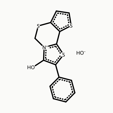 Oc1c(-c2ccccc2)sc2[n+]1CSc1ccsc1-2.[OH-]